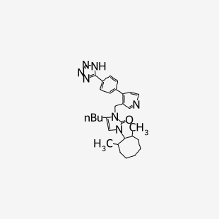 CCCCc1cn(C2C(C)CCCCCC2C)c(=O)n1Cc1cnccc1-c1ccc(-c2nnn[nH]2)cc1